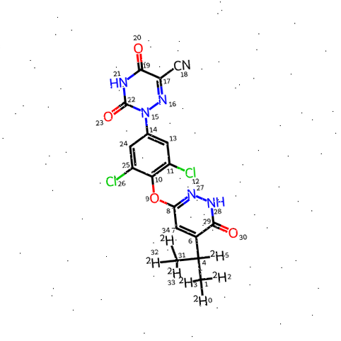 [2H]C([2H])([2H])C([2H])(c1cc(Oc2c(Cl)cc(-n3nc(C#N)c(=O)[nH]c3=O)cc2Cl)n[nH]c1=O)C([2H])([2H])[2H]